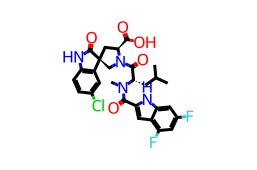 CC(C)C[C@@H](C(=O)N1C[C@]2(C[C@H]1C(=O)O)C(=O)Nc1ccc(Cl)cc12)N(C)C(=O)c1cc2c(F)cc(F)cc2[nH]1